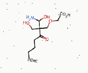 CCCCCCCCCCCCCC(=O)C(CO)(COCC(=O)O)C(N)O